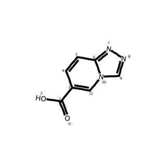 O=C(O)c1ccc2nncn2c1